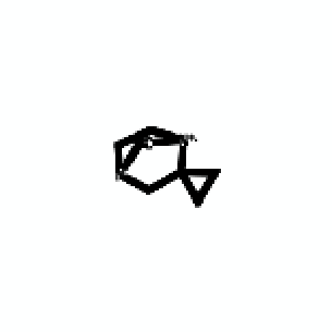 C1C[N+]2CCN1CC21CC1